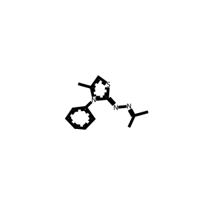 CC(C)=NN=c1scc(C)n1-c1ccccc1